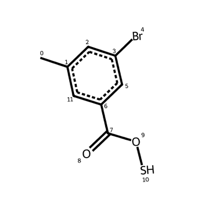 Cc1cc(Br)cc(C(=O)OS)c1